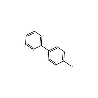 [CH]c1ccc(-c2ccccn2)cc1